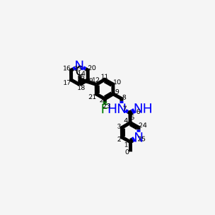 Cc1ccc(C(=N)NCc2ccc(C3CN4CCC3CC4)cc2F)cn1